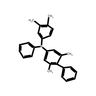 Cc1ccc(N(c2ccccc2)c2cc(C)c(-c3ccccc3)c(C)c2)cc1C